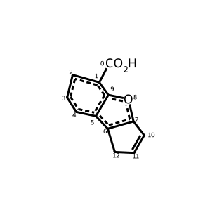 O=C(O)c1cccc2c3c(oc12)C=CC3